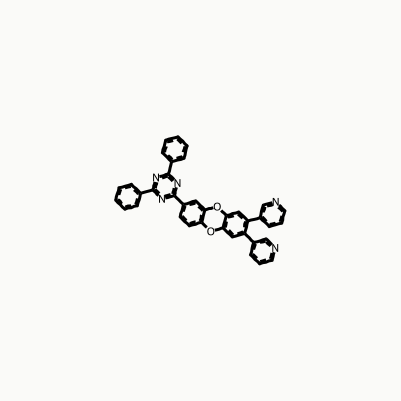 c1ccc(-c2nc(-c3ccccc3)nc(-c3ccc4c(c3)Oc3cc(-c5cccnc5)c(-c5cccnc5)cc3O4)n2)cc1